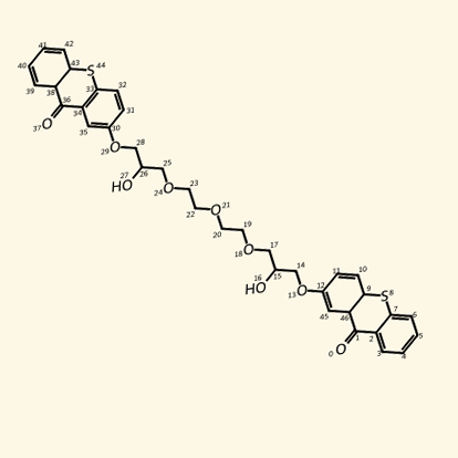 O=C1c2ccccc2SC2C=CC(OCC(O)COCCOCCOCC(O)COc3ccc4c(c3)C(=O)C3C=CC=CC3S4)=CC12